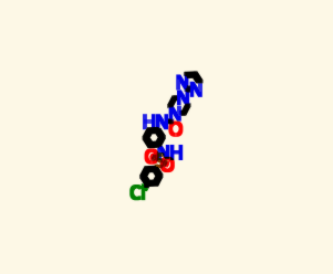 O=C(Nc1cccc(NS(=O)(=O)c2ccc(Cl)cc2)c1)N1CCN(c2ncccn2)CC1